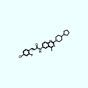 Cc1nc(N2CCC(N3CCCC3)CC2)nc2ccc(NC(=O)/C=C/c3ccc(Cl)cc3F)cc12